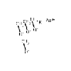 C[O-].C[O-].C[O-].C[O-].[Au+3].[K+]